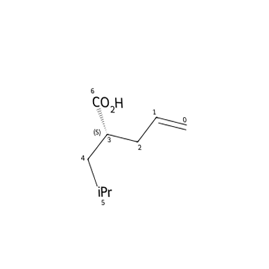 C=CC[C@H](CC(C)C)C(=O)O